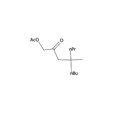 CCCCC(C)(CCC)CC(=O)COC(C)=O